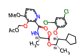 COc1ccnc(C(=O)N[C@@H](C)C(=O)O[C@@H](C)[C@H](Oc2ccc(Cl)cc2Cl)C2CCCC2)c1OCOC(C)=O